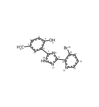 Cc1ccc(O)c(-c2nc(-c3ncccc3Br)n[nH]2)c1